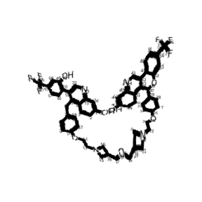 Oc1ccc2c(Cc3ccc(OCCN4CC(COCC5CN(CCOc6ccc(C7Oc8cc(C(F)(F)F)ccc8-c8cnc9cc(O)ccc9c87)cc6)C5)C4)cc3)c(-c3ccc(C(F)(F)F)cc3O)cnc2c1